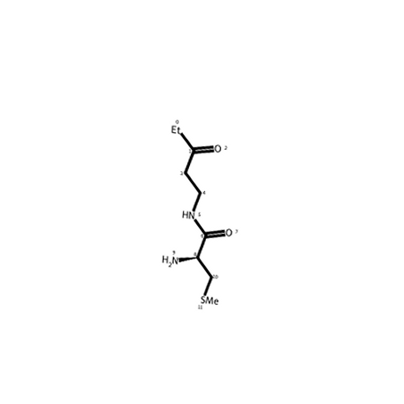 CCC(=O)CCNC(=O)[C@H](N)CSC